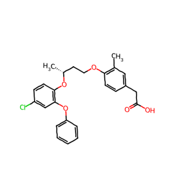 Cc1cc(CC(=O)O)ccc1OCC[C@@H](C)Oc1ccc(Cl)cc1Oc1ccccc1